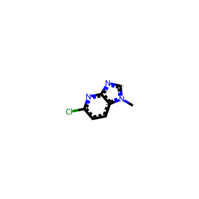 Cn1[c]nc2nc(Cl)ccc21